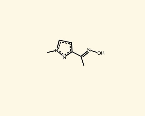 CC(=NO)c1ccn(C)n1